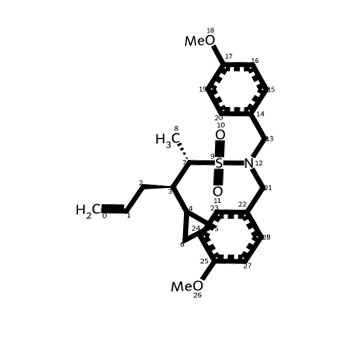 C=CC[C@H](C1CC1)[C@H](C)S(=O)(=O)N(Cc1ccc(OC)cc1)Cc1ccc(OC)cc1